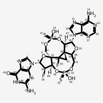 Nc1nc2c(ncn2[C@@H]2O[C@]34COP(O)(=S)O[C@H]5[C@H](n6cnc7c(N)ncnc76)O[C@H](COP(O)(=S)O[C@H]3[C@H]2F)[C@@]52CC24F)c(=O)[nH]1